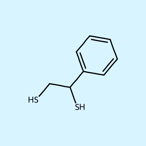 SCC(S)c1ccccc1